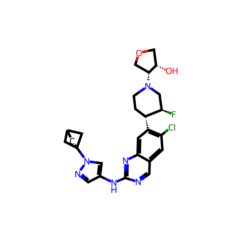 O[C@H]1COC[C@H]1N1CC[C@@H](c2cc3nc(Nc4cnn(C56CC(C5)C6)c4)ncc3cc2Cl)[C@H](F)C1